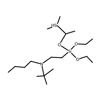 CCCCN(CC[Si](OCC)(OCC)OC(C)[SiH](C)C)C(C)(C)C